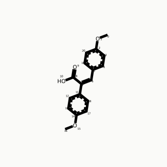 COc1ccc(/C=C(\C(=O)O)c2ccc(OC)cc2)cc1